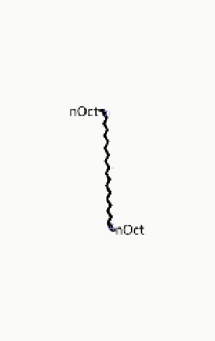 CCCCCCCC/C=C\CCCCCCC[CH]CCCCCCCC/C=C\CCCCCCCC